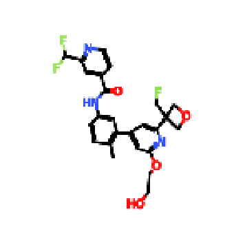 Cc1ccc(NC(=O)c2ccnc(C(F)F)c2)cc1-c1cc(OCCO)nc(C2(CF)COC2)c1